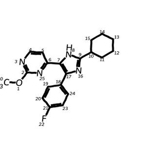 COc1nccc(-c2[nH]c(C3CCCCC3)nc2-c2ccc(F)cc2)n1